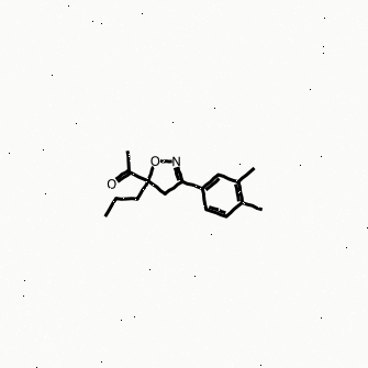 CCCC1(C(C)=O)CC(c2ccc(C)c(C)c2)=NO1